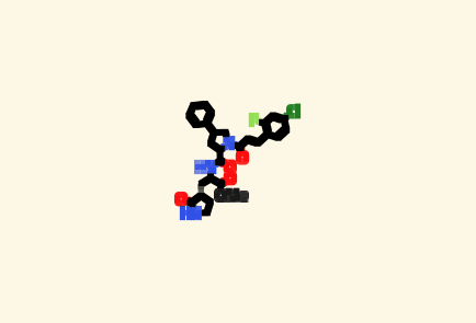 COC(=O)C(C[C@@H]1CCNC1=O)NC(=O)C1CC(c2ccccc2)CN1C(=O)/C=C/c1ccc(Cl)cc1F